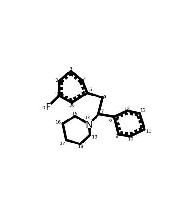 Fc1cccc(CC(c2ccccc2)N2CCCCC2)c1